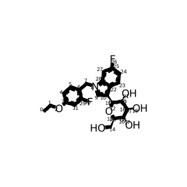 CCOc1ccc(Cn2cc([C@@H]3O[C@H](CO)[C@@H](O)[C@H](O)[C@H]3O)c3ccc(F)cc32)c(F)c1